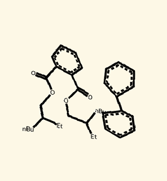 CCCCC(CC)COC(=O)c1ccccc1C(=O)OCC(CC)CCCC.c1ccc(-c2ccccc2)cc1